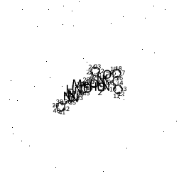 COC(=O)N(C(=O)[C@@H](N)C(c1ccccc1)c1ccccc1)c1ccccc1CC[C@@H]1CN[C@H](Cn2cc(-c3ccccc3)nn2)CO1